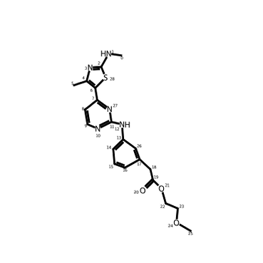 CNc1nc(C)c(-c2ccnc(Nc3cccc(CC(=O)OCCOC)c3)n2)s1